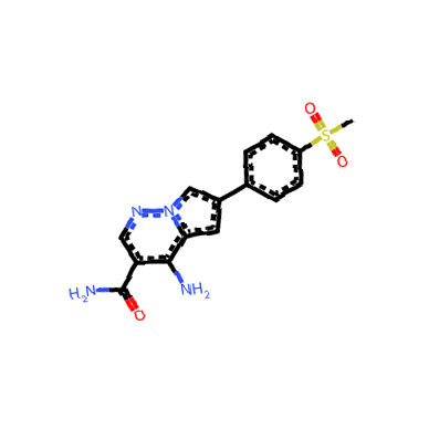 CS(=O)(=O)c1ccc(-c2cc3c(N)c(C(N)=O)cnn3c2)cc1